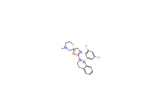 CN1CCC[C@@]2(CN=C(N3CCc4ccccc4[C@H]3c3cc(F)cc(F)c3)O2)C1